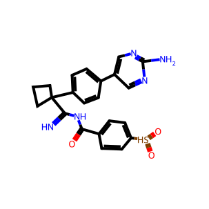 N=C(NC(=O)c1ccc([SH](=O)=O)cc1)C1(c2ccc(-c3cnc(N)nc3)cc2)CCC1